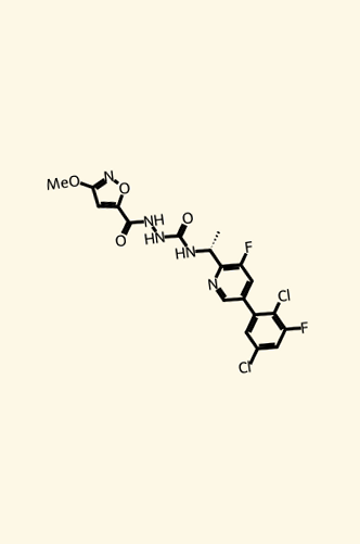 COc1cc(C(=O)NNC(=O)N[C@H](C)c2ncc(-c3cc(Cl)cc(F)c3Cl)cc2F)on1